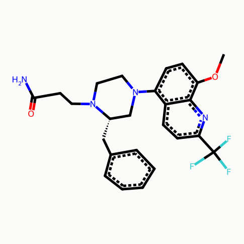 COc1ccc(N2CCN(CCC(N)=O)[C@@H](Cc3ccccc3)C2)c2ccc(C(F)(F)F)nc12